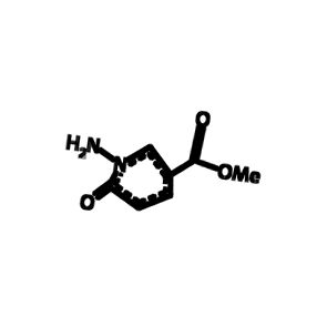 COC(=O)c1ccc(=O)n(N)c1